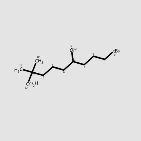 CC(C)(C)CCCC(O)CCCC(C)(C)C(=O)O